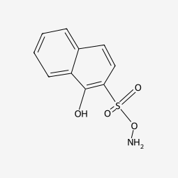 NOS(=O)(=O)c1ccc2ccccc2c1O